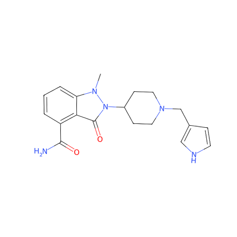 Cn1c2cccc(C(N)=O)c2c(=O)n1C1CCN(Cc2cc[nH]c2)CC1